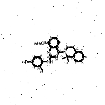 COc1cccc2c(N3CCc4ccccc4C3(C)C)nc(Nc3ccc(F)cc3C)nc12